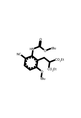 CCOC(=O)C(Cc1c(OC(C)(C)C)ccc(C#N)c1NC(=O)OC(C)(C)C)C(=O)OCC